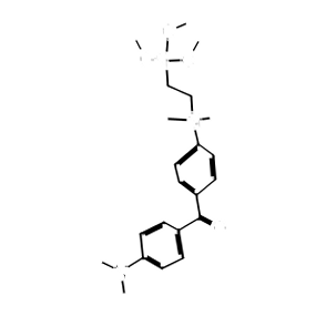 CO[Si](CC[Si](C)(C)c1ccc(C(=O)c2ccc(N(C)C)cc2)cc1)(OC)OC